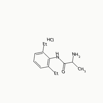 CCc1cccc(CC)c1NC(=O)C(C)N.Cl